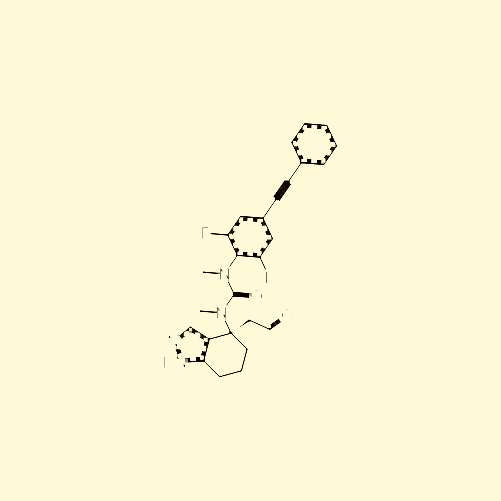 CN(C(=O)N(C)[C@]1(CC=O)CCCc2[nH]ncc21)c1c(F)cc(C#Cc2ccccc2)cc1F